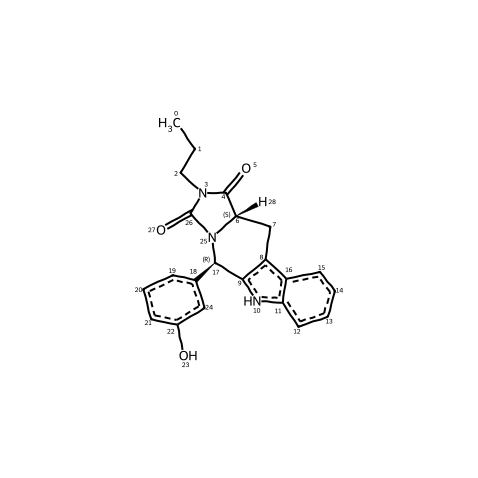 CCCN1C(=O)[C@@H]2Cc3c([nH]c4ccccc34)[C@@H](c3cccc(O)c3)N2C1=O